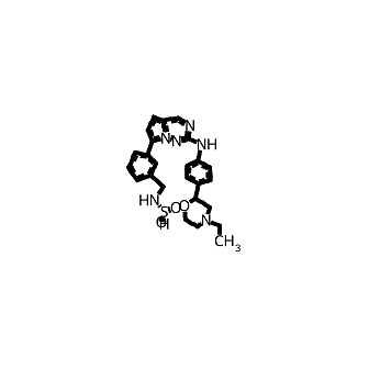 CCN1CCOC(c2ccc(Nc3ncc4ccc(-c5cccc(CN[SH](=O)=O)c5)n4n3)cc2)C1